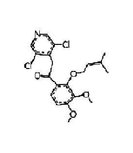 COc1ccc(C(=O)Cc2c(Cl)cncc2Cl)c(OCC=C(C)C)c1OC